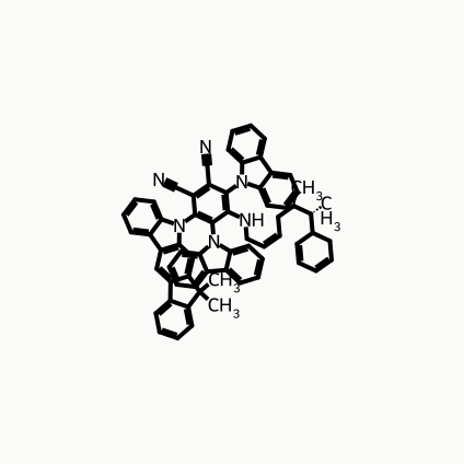 C[C@H](C/C=C\CNc1c(-n2c3ccccc3c3ccccc32)c(C#N)c(C#N)c(-n2c3ccccc3c3cc4c(cc32)C(C)(C)c2ccccc2-4)c1-n1c2ccccc2c2ccccc21)[C@H](C)C1C=CC=CC1